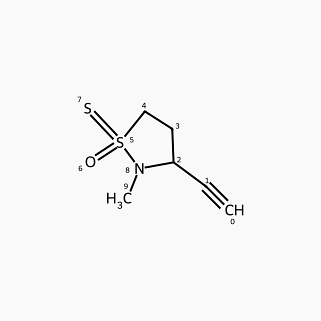 C#CC1CCS(=O)(=S)N1C